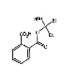 CCCCC(CC)(CC)OC(=O)c1ccccc1C(=O)O